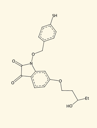 CCC(O)CCOc1ccc2c(c1)N(OCc1ccc(S)cc1)C(=O)C2=O